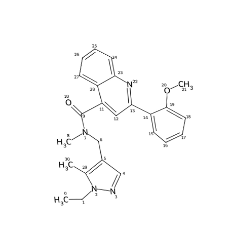 CCn1ncc(CN(C)C(=O)c2cc(-c3ccccc3OC)nc3ccccc23)c1C